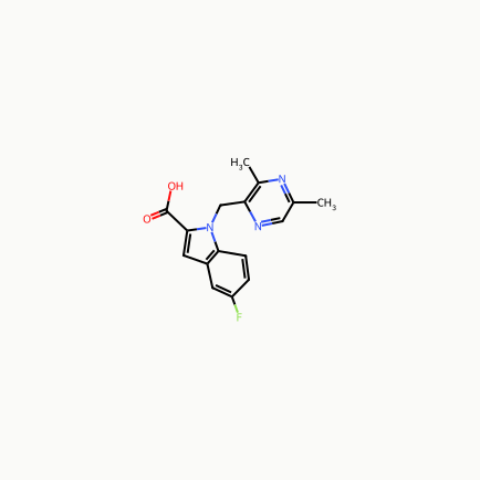 Cc1cnc(Cn2c(C(=O)O)cc3cc(F)ccc32)c(C)n1